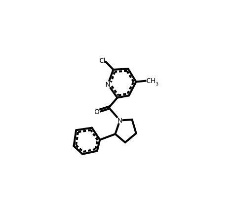 Cc1cc(Cl)nc(C(=O)N2CCCC2c2ccccc2)c1